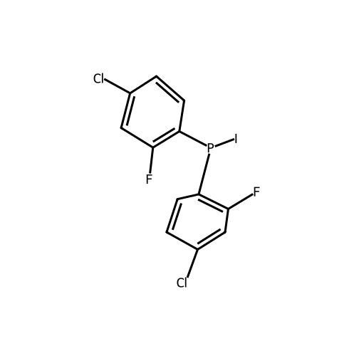 Fc1cc(Cl)ccc1P(I)c1ccc(Cl)cc1F